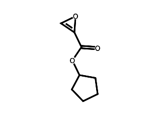 O=C(OC1CCCC1)C1=CO1